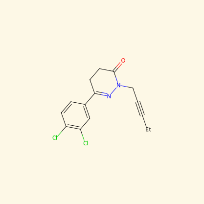 CCC#CCN1N=C(c2ccc(Cl)c(Cl)c2)CCC1=O